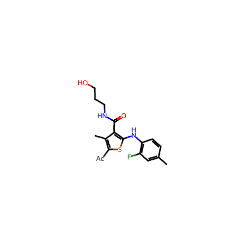 CC(=O)c1sc(Nc2ccc(C)cc2F)c(C(=O)NCCCO)c1C